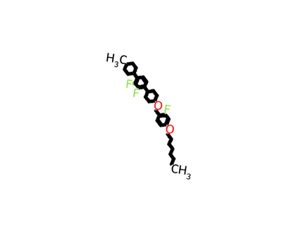 CCCCCCCCOc1ccc(COC2CCC(c3ccc(C4CCC(C)CC4)c(F)c3F)CC2)c(F)c1